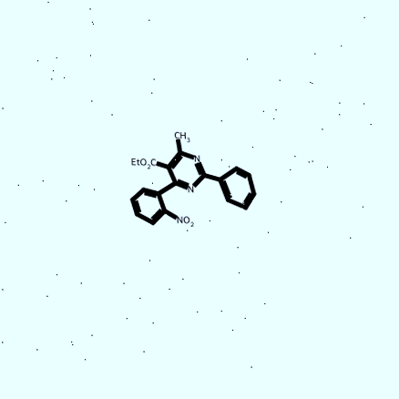 CCOC(=O)c1c(C)nc(-c2ccccc2)nc1-c1ccccc1[N+](=O)[O-]